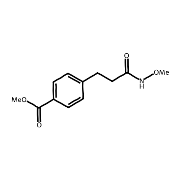 CONC(=O)CCc1ccc(C(=O)OC)cc1